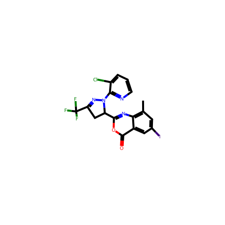 Cc1cc(I)cc2c(=O)oc(C3CC(C(F)(F)F)=NN3c3ncccc3Cl)nc12